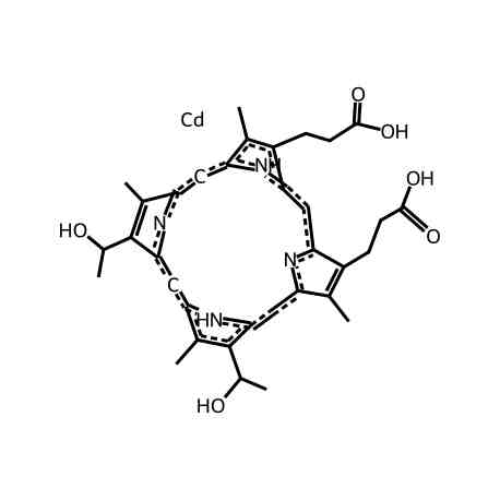 CC1=C(CCC(=O)O)c2cc3[nH]c(cc4nc(cc5[nH]c(cc1n2)c(C(C)O)c5C)C(C(C)O)=C4C)c(C)c3CCC(=O)O.[Cd]